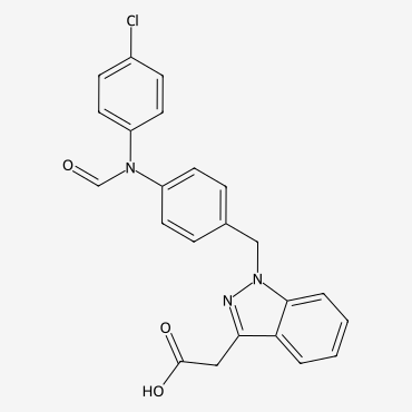 O=CN(c1ccc(Cl)cc1)c1ccc(Cn2nc(CC(=O)O)c3ccccc32)cc1